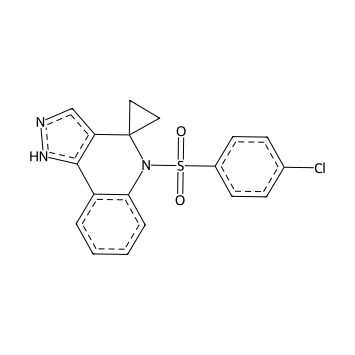 O=S(=O)(c1ccc(Cl)cc1)N1c2ccccc2-c2[nH]ncc2C12CC2